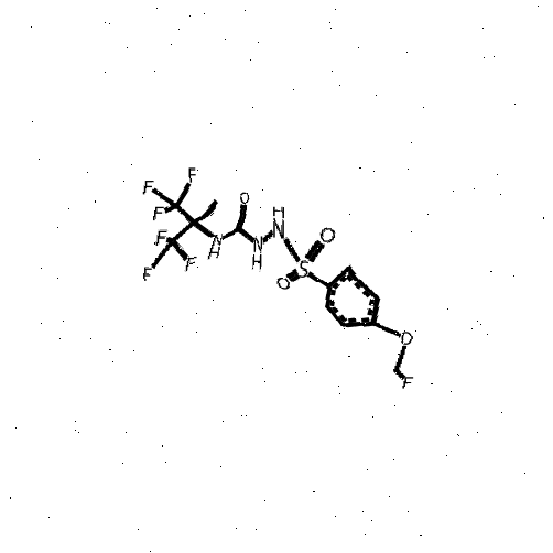 CC(NC(=O)NNS(=O)(=O)c1ccc(OCF)cc1)(C(F)(F)F)C(F)(F)F